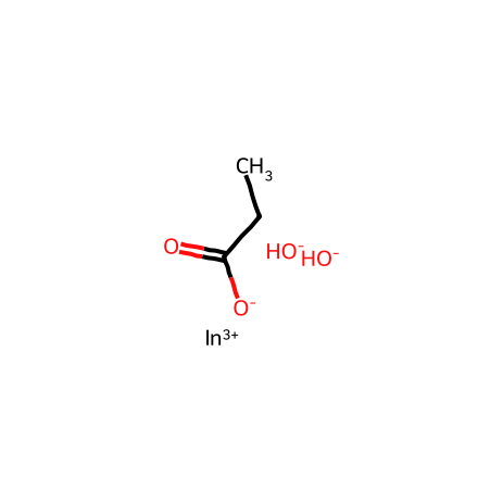 CCC(=O)[O-].[In+3].[OH-].[OH-]